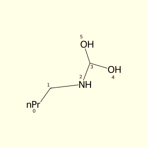 CCCCNC(O)O